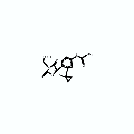 CNC(=O)Nc1ccc2c(c1)C1(CC1)C[C@@]21OC(=O)N(CC(=O)O)C1=O